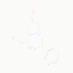 OC1CCN(CC(NCC(F)F)c2ccccc2)C1